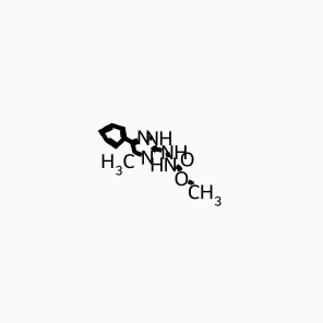 CCOC(=O)NNC1=NC(C)C(c2ccccc2)=NN1